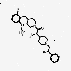 CCOc1cccc(F)c1CN1CCN(C(=O)[C@H](N)C2CCN(CC(F)c3ccccc3)CC2)CC1